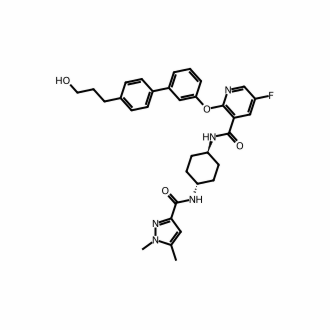 Cc1cc(C(=O)N[C@H]2CC[C@H](NC(=O)c3cc(F)cnc3Oc3cccc(-c4ccc(CCCO)cc4)c3)CC2)nn1C